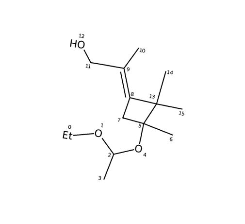 CCOC(C)OC1(C)CC(=C(C)CO)C1(C)C